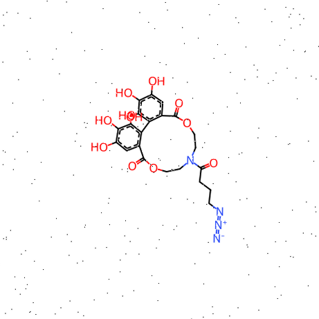 [N-]=[N+]=NCCCC(=O)N1CCOC(=O)c2cc(O)c(O)c(O)c2-c2c(cc(O)c(O)c2O)C(=O)OCC1